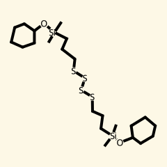 C[Si](C)(CCCSSSSCCC[Si](C)(C)OC1CCCCC1)OC1CCCCC1